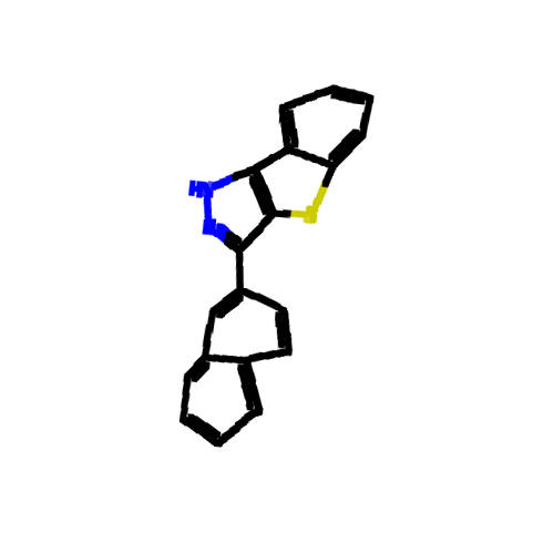 c1ccc2cc(-c3n[nH]c4c3sc3ccccc34)ccc2c1